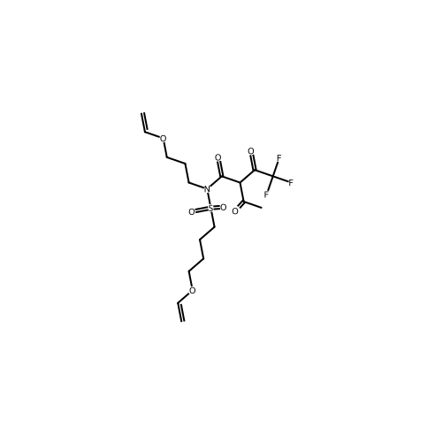 C=COCCCCS(=O)(=O)N(CCCOC=C)C(=O)C(C(C)=O)C(=O)C(F)(F)F